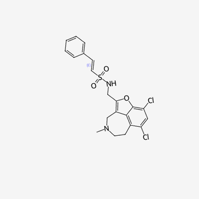 CN1CCc2c(Cl)cc(Cl)c3oc(CNS(=O)(=O)/C=C/c4ccccc4)c(c23)C1